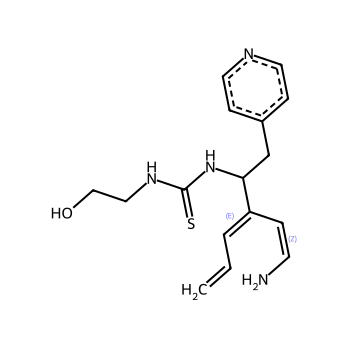 C=C/C=C(\C=C/N)C(Cc1ccncc1)NC(=S)NCCO